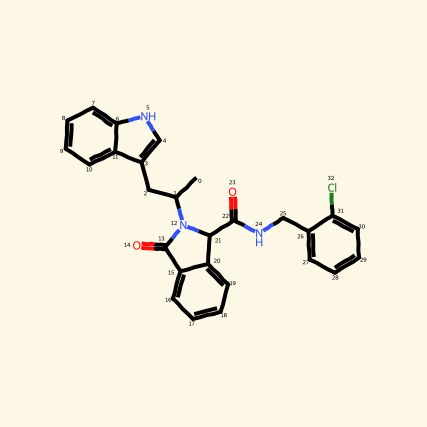 CC(Cc1c[nH]c2ccccc12)N1C(=O)c2ccccc2C1C(=O)NCc1ccccc1Cl